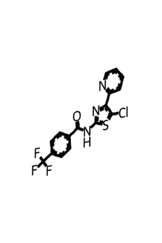 O=C(Nc1nc(-c2ccccn2)c(Cl)s1)c1ccc(C(F)(F)F)cc1